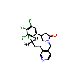 [2H]C([2H])(F)CCc1cnccc1CN1CC(c2cc(F)c(F)c(F)c2)CC1=O